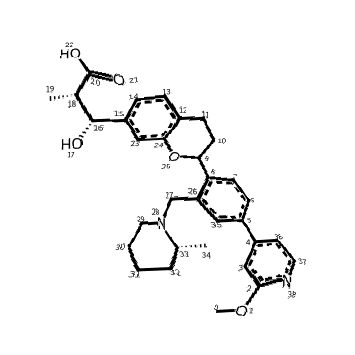 COc1cc(-c2ccc(C3CCc4ccc([C@H](O)[C@H](C)C(=O)O)cc4O3)c(CN3CCCC[C@H]3C)c2)ccn1